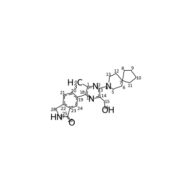 Cc1nc(N2CCC3(CCCC3)CC2)c(CO)nc1-c1ccc2c(c1)C(=O)NC2